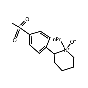 CCC[N+]1([O-])CCCCC1c1ccc(S(C)(=O)=O)cc1